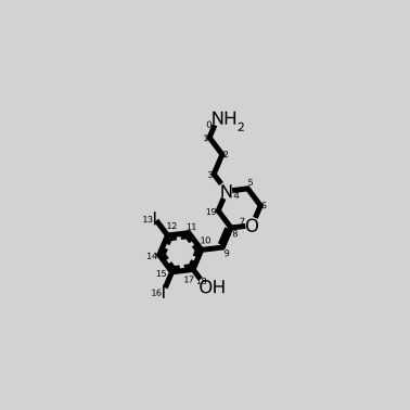 NCCCN1CCOC(=Cc2cc(I)cc(I)c2O)C1